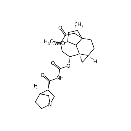 CO[C@@H]1CCC23CC[C@H]4C[C@@]4(C12)[C@H](OC(=O)NC(=O)[C@H]1CN2CC[C@@H]1C2)CC(C)C(=O)[C@@H]3C